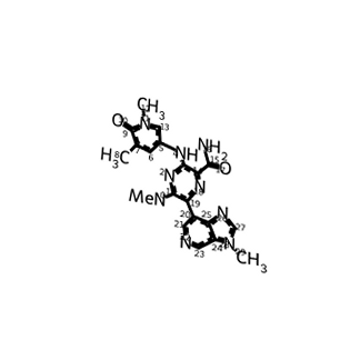 CNc1nc(Nc2cc(C)c(=O)n(C)c2)c(C(N)=O)nc1-c1cncc2c1ncn2C